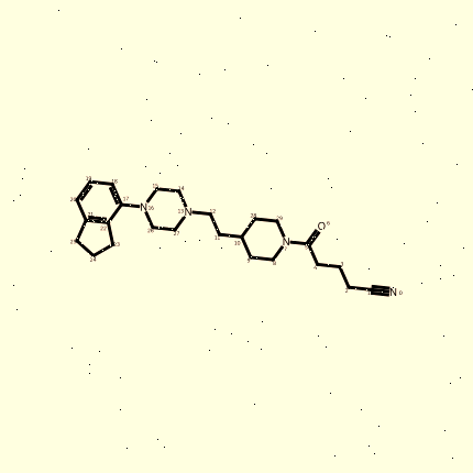 N#CCCCC(=O)N1CCC(CCN2CCN(c3cccc4c3CCC4)CC2)CC1